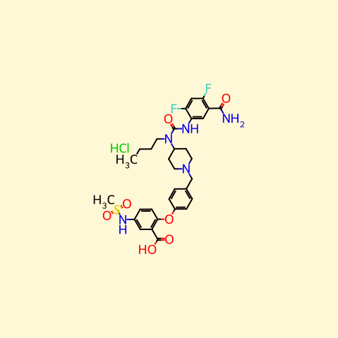 CCCCN(C(=O)Nc1cc(C(N)=O)c(F)cc1F)C1CCN(Cc2ccc(Oc3ccc(NS(C)(=O)=O)cc3C(=O)O)cc2)CC1.Cl